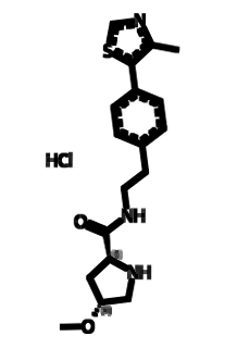 CO[C@H]1CN[C@H](C(=O)NCCc2ccc(-c3scnc3C)cc2)C1.Cl